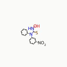 O=[N+]([O-])c1cccc(N(C(=S)NO)c2ccccc2)c1